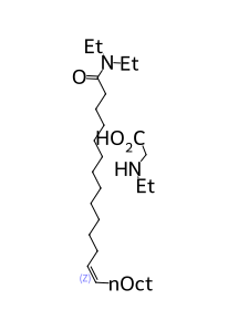 CCCCCCCC/C=C\CCCCCCCCCCCC(=O)N(CC)CC.CCNCC(=O)O